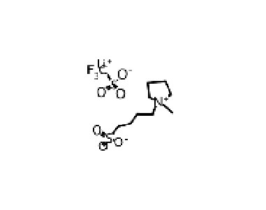 C[N+]1(CCCCS(=O)(=O)[O-])CCCC1.O=S(=O)([O-])C(F)(F)F.[Li+]